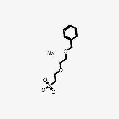 O=S(=O)([O-])CCOCCOCc1ccccc1.[Na+]